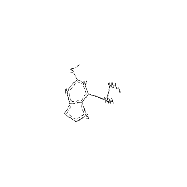 CSc1nc(NN)c2sccc2n1